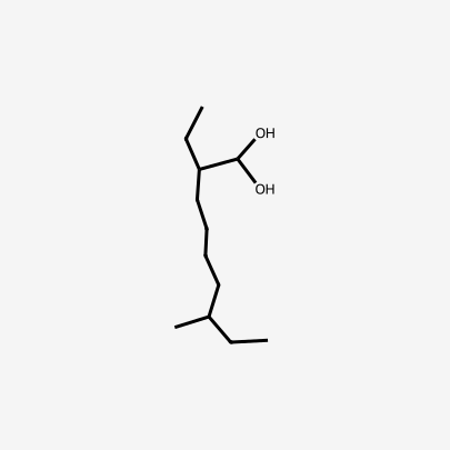 CCC(C)CCCCC(CC)C(O)O